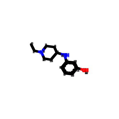 CCN1CCC(Nc2cccc(O)c2)CC1